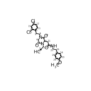 C#CCN1C(=O)CN(CCc2ccc(Cl)cc2Cl)C(=O)C1CC(=O)NCCc1ccc(OC)cc1